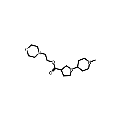 CN1CCC(N2CCC(C(=O)OCCN3CCOCC3)C2)CC1